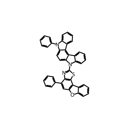 c1ccc(-c2cc3oc4ccccc4c3c3sc(-n4c5ccccc5c5c6c7ccccc7n(-c7ccccc7)c6ccc54)nc23)cc1